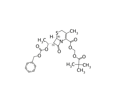 CC1=C(C(=O)OCOC(=O)C(C)(C)C)N2C(=O)[C@H](C(C)OC(=O)OCc3ccccc3)[C@H]2SC1